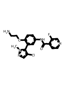 Cn1ncc(Cl)c1-c1cc(NC(=O)c2ccncc2F)ccc1OCCN